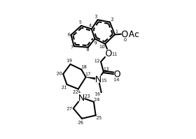 CC(=O)Oc1ccc2ccccc2c1OCC(=O)N(C)[C@@H]1CCCC[C@H]1N1CCCC1